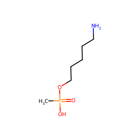 CP(=O)(O)OCCCCCN